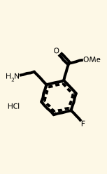 COC(=O)c1cc(F)ccc1CN.Cl